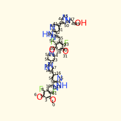 COc1cc(OC)c(F)c(Cc2n[nH]c3ncc(-c4cnn(C5CCN(Oc6cc(OC)c(F)c(Cc7n[nH]c8ncc(-c9cnn(CCO)c9)cc78)c6F)CC5)c4)cc23)c1F